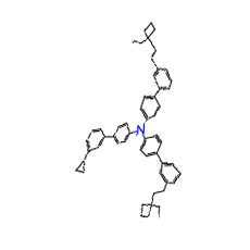 CCC1(CCc2cccc(-c3ccc(N(c4ccc(-c5cccc(CCC6(CC)CCC6)c5)cc4)c4ccc(-c5cccc(C6CC6)c5)cc4)cc3)c2)CCC1